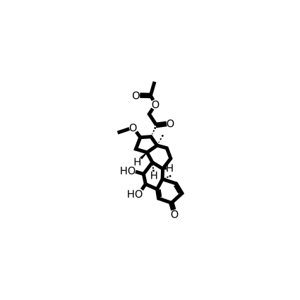 COC1C[C@H]2[C@@H]3C(O)C(O)C4=CC(=O)C=C[C@]4(C)[C@H]3CC[C@]2(C)[C@H]1C(=O)COC(C)=O